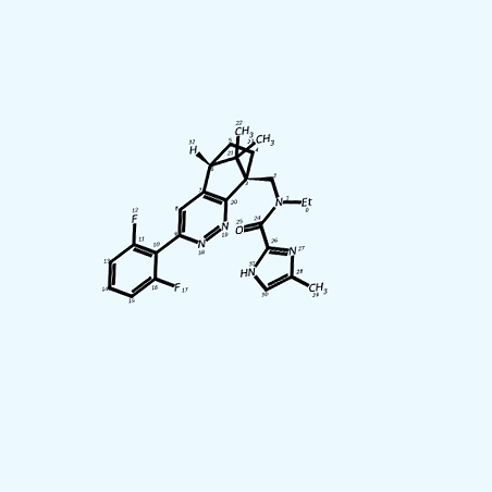 CCN(C[C@@]12CC[C@@H](c3cc(-c4c(F)cccc4F)nnc31)C2(C)C)C(=O)c1nc(C)c[nH]1